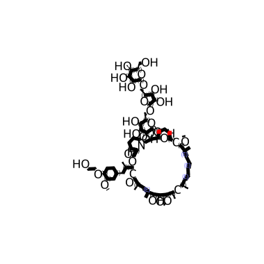 CO[C@H]1C[C@@H]2CC[C@@H](C)[C@@](O[C@@H]3O[C@H](CO[C@@H]4O[C@@H](CO[C@@H]5O[C@H](CO)[C@@H](O)[C@H](O)[C@H]5O)[C@@H](O)[C@H]4O)[C@@H](O)[C@H](O)[C@H]3O)(O2)C(=O)C(=O)N2CCCC[C@H]2C(=O)OC([C@H](C)C[C@@H]2CC[C@@H](OCCO)[C@H](OC)C2)CC(=O)[C@H](C)/C=C(\C)[C@@H](O)[C@@H](OC)C(=O)[C@H](C)C[C@H](C)/C=C/C=C/C=C/1C